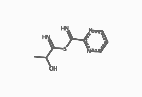 CC(O)C(=N)SC(=N)c1ncccn1